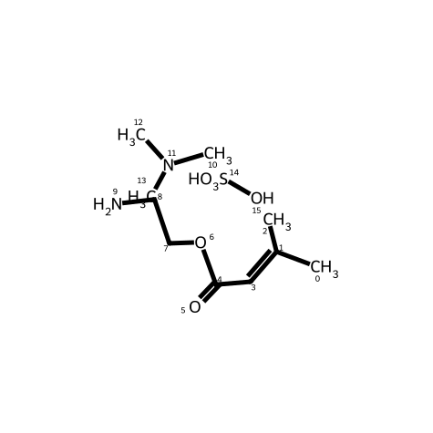 CC(C)=CC(=O)OCCN.CN(C)C.O=S(=O)(O)O